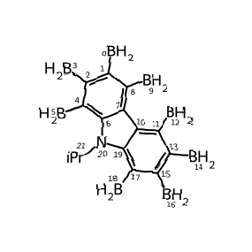 Bc1c(B)c(B)c2c(c1B)c1c(B)c(B)c(B)c(B)c1n2C(C)C